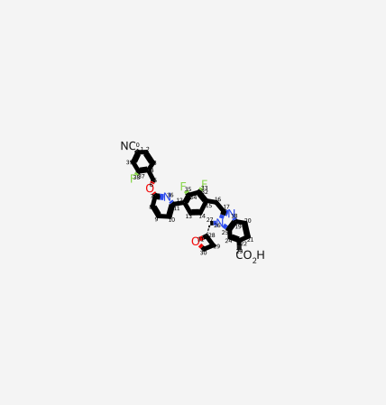 N#Cc1ccc(COc2cccc(-c3ccc(Cc4nc5ccc(C(=O)O)cc5n4C[C@@H]4CCO4)c(F)c3F)n2)c(F)c1